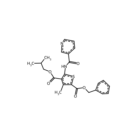 Cc1c(C(=O)OCc2ccccc2)sc(NC(=O)c2cccnc2)c1C(=O)OCC(C)C